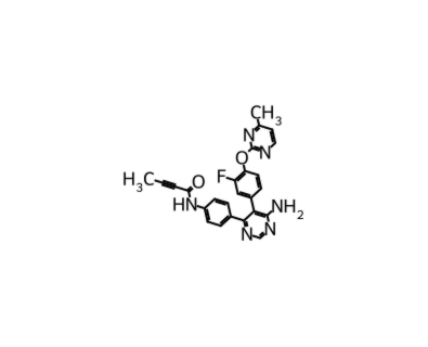 CC#CC(=O)Nc1ccc(-c2ncnc(N)c2-c2ccc(Oc3nccc(C)n3)c(F)c2)cc1